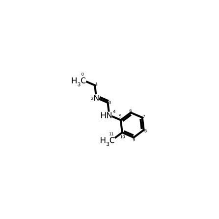 CC/N=C/Nc1ccccc1C